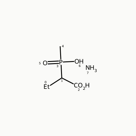 CCC(C(=O)O)P(C)(=O)O.N